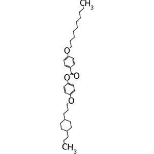 CCCCCCCCCCOc1ccc(C(=O)Oc2ccc(OCCCC3CCC(CCC)CC3)cc2)cc1